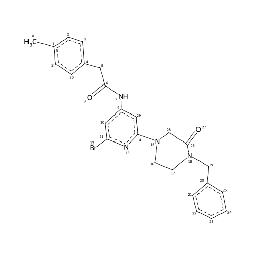 Cc1ccc(CC(=O)Nc2cc(Br)nc(N3CCN(Cc4ccccc4)C(=O)C3)c2)cc1